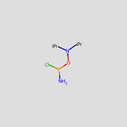 CC(C)N(OP(N)Cl)C(C)C